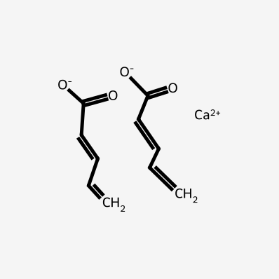 C=CC=CC(=O)[O-].C=CC=CC(=O)[O-].[Ca+2]